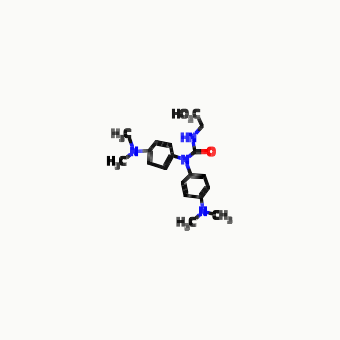 CN(C)c1ccc(N(C(=O)NCC(=O)O)c2ccc(N(C)C)cc2)cc1